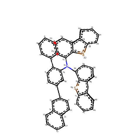 c1ccc(-c2ccc(-c3ccc4ccccc4c3)cc2N(c2cccc3c2sc2ccccc23)c2cccc3c2sc2ccccc23)cc1